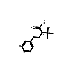 CC(C)(C)C(CCc1ccccc1)C(=O)O